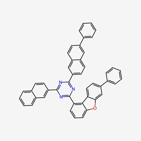 c1ccc(-c2ccc3cc(-c4nc(-c5ccc6ccccc6c5)nc(-c5cccc6oc7cc(-c8ccccc8)ccc7c56)n4)ccc3c2)cc1